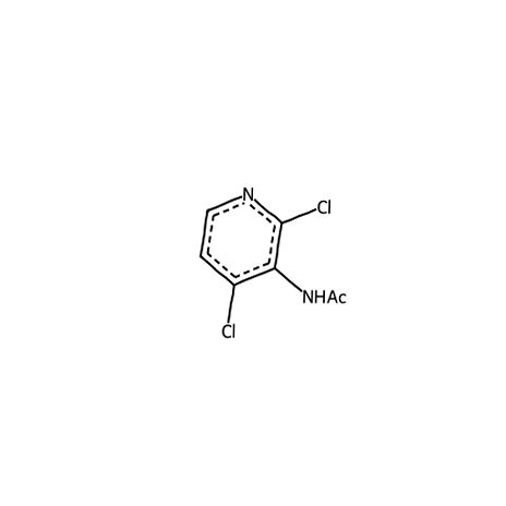 CC(=O)Nc1c(Cl)ccnc1Cl